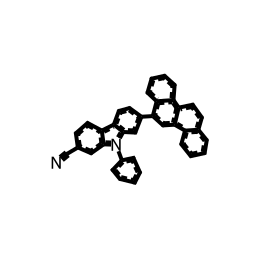 N#Cc1ccc2c3ccc(-c4cc5c6ccccc6ccc5c5ccccc45)cc3n(-c3ccccc3)c2c1